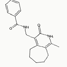 Cc1[nH]c(=O)c(CNC(=O)c2ccccc2)c2c1CCCCC2